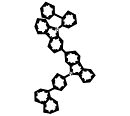 c1ccc(-c2ccccc2-n2c3ccccc3c3ccc(-c4ccc5c6ccccc6n(-c6ccc(-c7cccc8ccccc78)cc6)c5c4)cc32)cc1